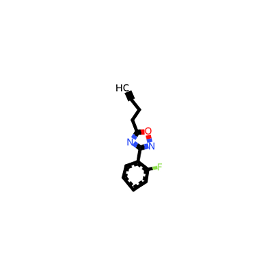 C#CCCc1nc(-c2ccccc2F)no1